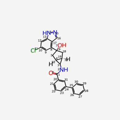 O=C(NC1[C@H]2CC(O)(c3cc(Cl)cc4[nH]ncc34)C[C@@H]12)c1cccc(-c2ccccc2)c1